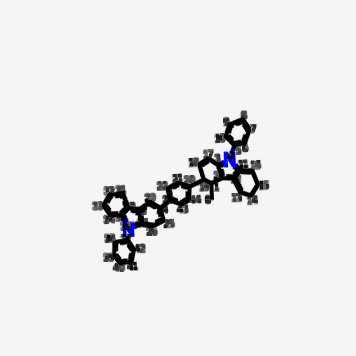 CC1c2c(n(-c3ccccc3)c3c2=CCCC=3)C=CC1c1ccc(-c2ccc3c(c2)c2ccccc2n3-c2ccccc2)cc1